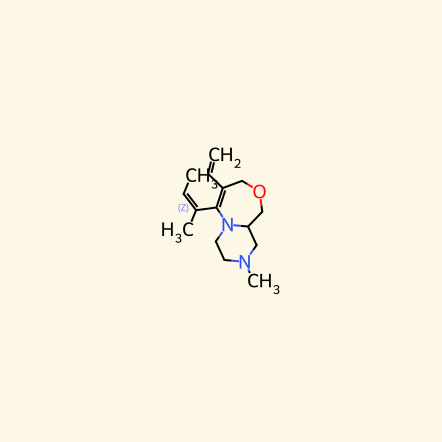 C=CC1=C(/C(C)=C\C)N2CCN(C)CC2COC1